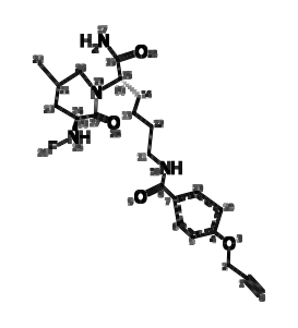 C#CCOc1ccc(C(=O)NCCCC[C@@H](C(N)=O)N2CC(C)C[C@H](NF)C2=O)cc1